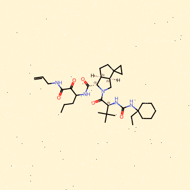 C=CCNC(=O)C(=O)C(CCC)NC(=O)[C@@H]1[C@H]2CCC3(CC3)[C@H]2CN1C(=O)[C@@H](NC(=O)NC1(CC)CCCCC1)C(C)(C)C